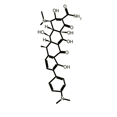 C[C@@H]1c2ccc(-c3ccc(N(C)C)cc3)c(O)c2C(=O)C2=C(O)[C@@]3(O)C(=O)C(C(N)=O)=C(O)[C@H](N(C)C)[C@H]3[C@H](O)[C@H]21